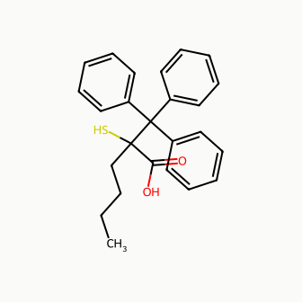 CCCCC(S)(C(=O)O)C(c1ccccc1)(c1ccccc1)c1ccccc1